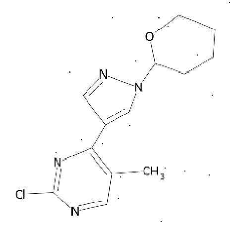 Cc1cnc(Cl)nc1-c1cnn(C2CCCCO2)c1